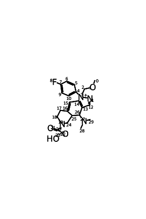 COC[N+]1(c2ccc(F)cc2)N=CC2=C1C=C1CCN(S(=O)(=O)O)CC1C2N(C)C